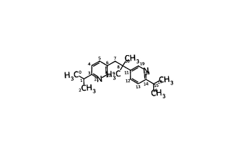 CC(C)c1ccc(CC(C)(C)c2ccc(C(C)C)nc2)cn1